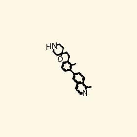 Cc1c(-c2ccc3c(C)nccc3c2)ccc2c1CCC1(CCNCC1)O2